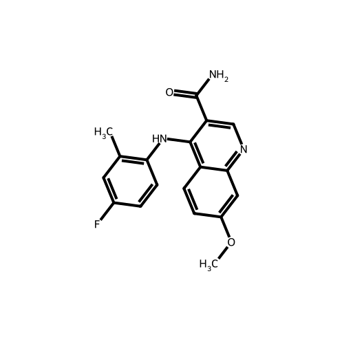 COc1ccc2c(Nc3ccc(F)cc3C)c(C(N)=O)cnc2c1